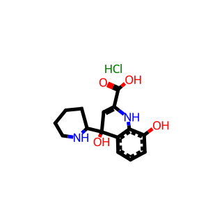 Cl.O=C(O)C1=CC(O)(C2CCCCN2)c2cccc(O)c2N1